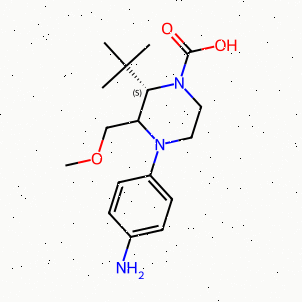 COCC1[C@H](C(C)(C)C)N(C(=O)O)CCN1c1ccc(N)cc1